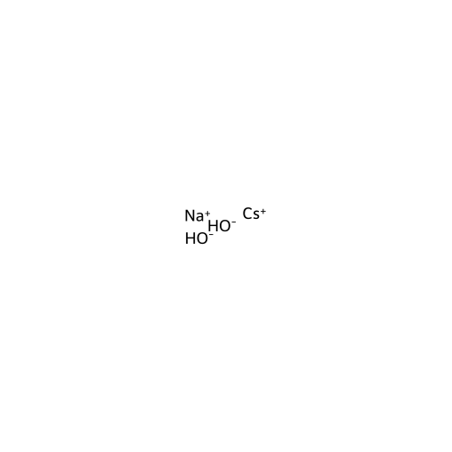 [Cs+].[Na+].[OH-].[OH-]